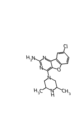 CC1CN(c2nc(N)nc3c2oc2ccc(Cl)cc23)CC(C)N1